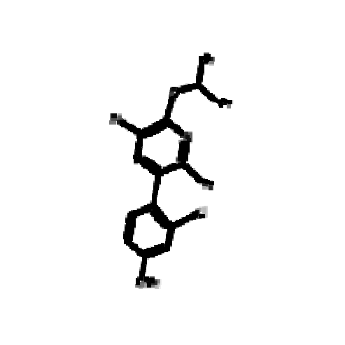 CCCC(CCC)Oc1nc(CC)c(-c2ccc(OC)cc2Cl)nc1CC